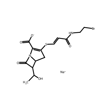 CC(O)C1C(=O)N2C(C(=O)[O-])=C(SC=CC(=O)NCCBr)CC12.[Na+]